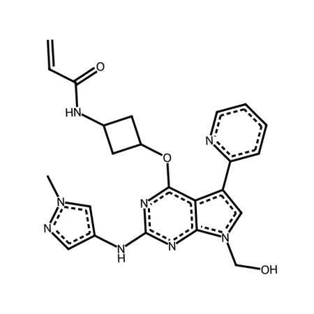 C=CC(=O)NC1CC(Oc2nc(Nc3cnn(C)c3)nc3c2c(-c2ccccn2)cn3CO)C1